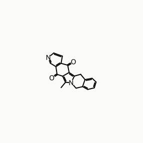 Cc1c2c(c3n1Cc1ccccc1C3)C(=O)c1ccncc1C2=O